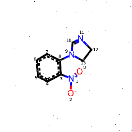 O=[N+]([O-])c1ccccc1N1C=NCC1